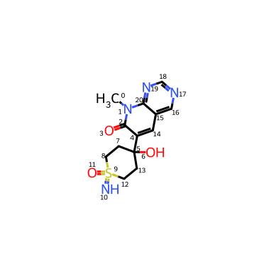 Cn1c(=O)c(C2(O)CCS(=N)(=O)CC2)cc2cncnc21